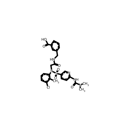 Cc1c(Cl)cccc1N(CC(=O)NCc1cccc(C(=O)O)c1)S(=O)(=O)c1ccc(NC(=O)N(C)C)nc1